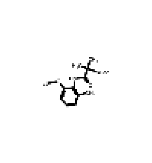 CCCCCCCCCCC(C)(C)C(=O)Nc1c(C)cccc1OCC